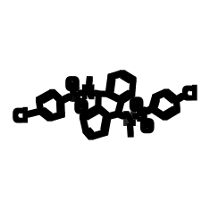 CN(C1c2ccccc2C(N(C)S(=O)(=O)c2ccc(Cl)cc2)c2ccccc21)S(=O)(=O)c1ccc(Cl)cc1